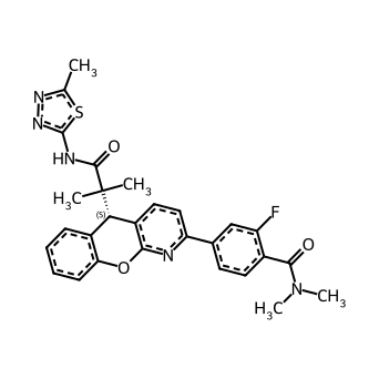 Cc1nnc(NC(=O)C(C)(C)[C@H]2c3ccccc3Oc3nc(-c4ccc(C(=O)N(C)C)c(F)c4)ccc32)s1